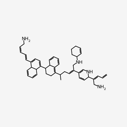 C=C/C=C(\CN)C1C=CC(/C(=C/CC(C)C2=C3C=CC=CC3C(C3=CC=C(/C=C/C=C\CN)C4C=CC=CC34)CC2)CNC2C=CCCC2)=CN1